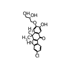 CC1(C)c2cc(OC[C@@H](O)CO)c(O)cc2C(=O)c2c1[nH]c1cc(Cl)ccc21